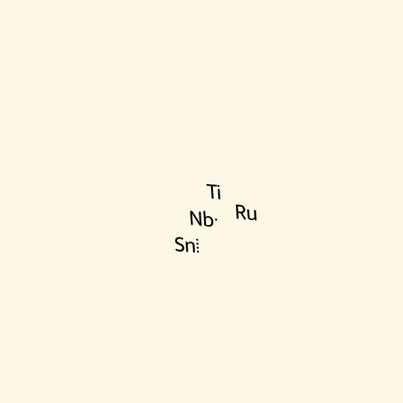 [Nb].[Ru].[Sn].[Ti]